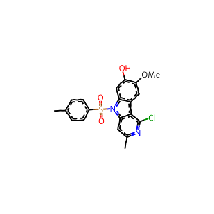 COc1cc2c3c(Cl)nc(C)cc3n(S(=O)(=O)c3ccc(C)cc3)c2cc1O